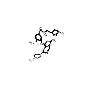 C=C/N=C1/C=NC(N2CCN(C)CC2)=N/C1=C(/N)Nc1cc(C(=O)NCc2ccc(C(F)(F)F)cc2)ccc1C